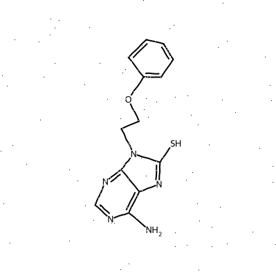 Nc1ncnc2c1nc(S)n2CCOc1ccccc1